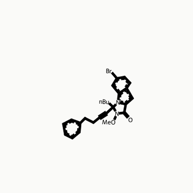 CCCCC1(C#CCCc2ccccc2)N(OC)C(=O)c2cc3ccc(Br)cc3n21